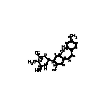 Cc1ccc2c(c1)Nc1cc(C3C[S+]([O-])C(C)C(=N)N3)c(F)cc1C=C2